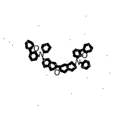 c1ccc(N(c2ccc3cc4oc5cc6ccc(N(c7ccccc7)c7cccc8c7oc7ccccc78)cc6cc5c4cc3c2)c2cccc3c2oc2ccccc23)cc1